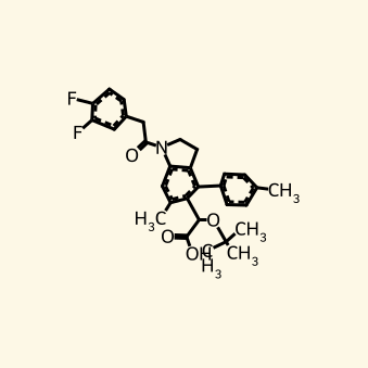 Cc1ccc(-c2c3c(cc(C)c2C(OC(C)(C)C)C(=O)O)N(C(=O)Cc2ccc(F)c(F)c2)CC3)cc1